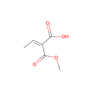 CC=C(C(=O)O)C(=O)OC